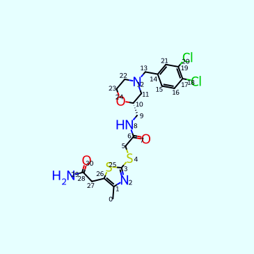 Cc1nc(SCC(=O)NC[C@H]2CN(Cc3ccc(Cl)c(Cl)c3)CCO2)sc1CC(N)=O